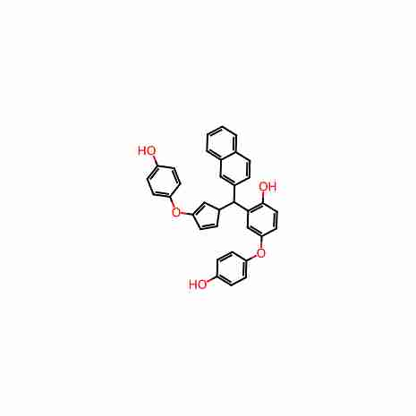 Oc1ccc(OC2=CC(C(c3ccc4ccccc4c3)c3cc(Oc4ccc(O)cc4)ccc3O)C=C2)cc1